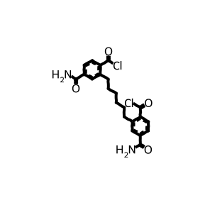 NC(=O)c1ccc(C(=O)Cl)c(CCCCCCc2cc(C(N)=O)ccc2C(=O)Cl)c1